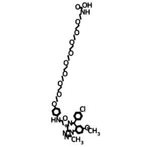 COc1ccc2c(c1)C(c1ccc(Cl)cc1)=N[C@@H](CC(=O)Nc1ccc(OCCOCCOCCOCCOCCOCCOCCOCCOCCNC(=O)O)cc1)c1nnc(C)n1-2